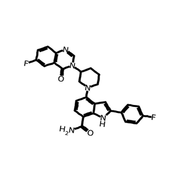 NC(=O)c1ccc(N2CCCC(n3cnc4ccc(F)cc4c3=O)C2)c2cc(-c3ccc(F)cc3)[nH]c12